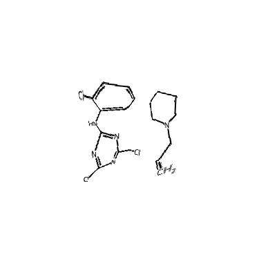 C=CCN1CCCCC1.Clc1nc(Cl)nc(Nc2ccccc2Cl)n1